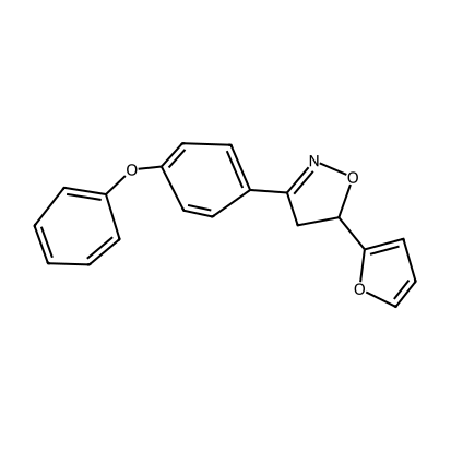 c1ccc(Oc2ccc(C3=NOC(c4ccco4)C3)cc2)cc1